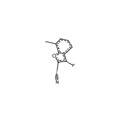 Cc1cccc2c(F)c(C#N)oc12